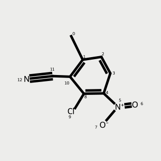 Cc1ccc([N+](=O)[O-])c(Cl)c1C#N